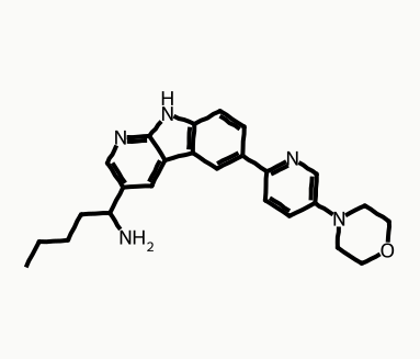 CCCCC(N)c1cnc2[nH]c3ccc(-c4ccc(N5CCOCC5)cn4)cc3c2c1